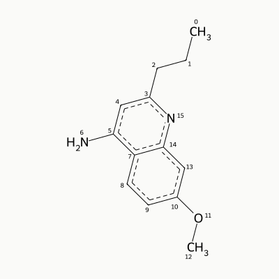 CCCc1cc(N)c2ccc(OC)cc2n1